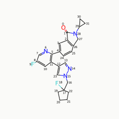 O=C1c2cc(-c3ncc(F)cc3-c3cnn(CC4(F)CCCC4)c3)ccc2CN1C1CC1